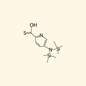 C[Si](C)(C)N(c1ccc(C(O)=S)nc1)[Si](C)(C)C